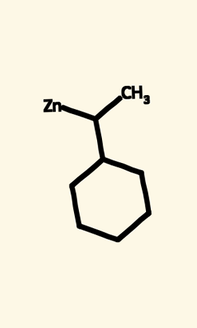 C[CH]([Zn])C1CCCCC1